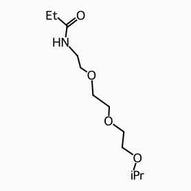 CCC(=O)NCCOCCOCCOC(C)C